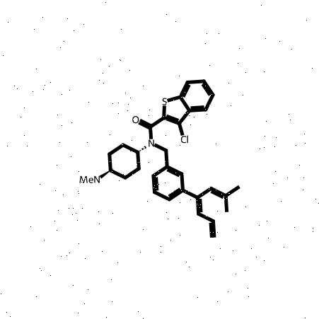 C=C/C=C(\C=C(C)C)c1cccc(CN(C(=O)c2sc3ccccc3c2Cl)[C@H]2CC[C@H](NC)CC2)c1